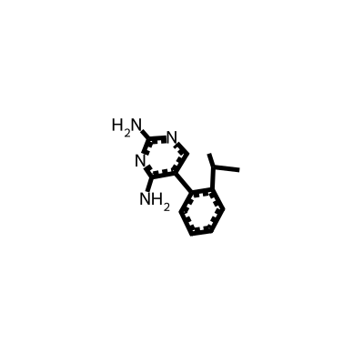 CC(C)c1ccccc1-c1cnc(N)nc1N